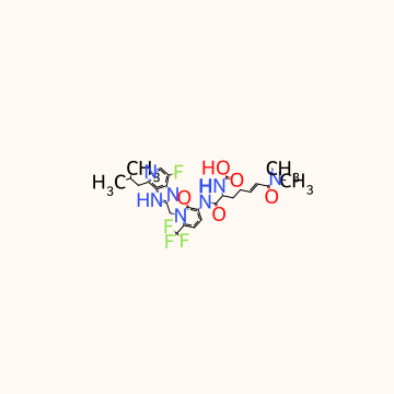 CC(C)Cc1ncc(F)c2nc(Cn3c(C(F)(F)F)ccc(NC(=O)C(CCC=CC(=O)N(C)C)NC(=O)O)c3=O)[nH]c12